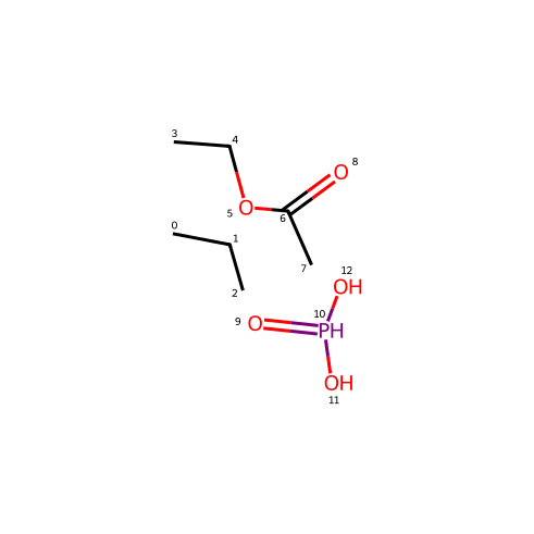 CCC.CCOC(C)=O.O=[PH](O)O